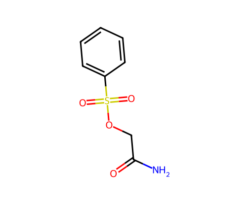 NC(=O)COS(=O)(=O)c1ccccc1